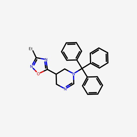 CCc1noc(C2CN=CN(C(c3ccccc3)(c3ccccc3)c3ccccc3)C2)n1